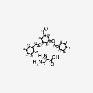 NC[C@H](N)C(=O)O.O=Cc1cc(OCc2ccccc2)cc(OCc2ccccc2)c1